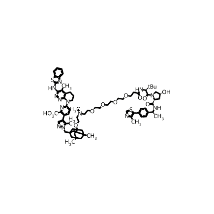 Cc1ncsc1-c1ccc([C@H](C)NC(=O)[C@@H]2C[C@@H](O)CN2C(=O)[C@@H](NC(=O)CCOCCOCCOCCOCCN(C)CCOC23CC4(C)CC(C)(CC(Cn5ncc(-c6ccc(N7CCCc8c7nnc(Nc7nc9ccccc9s7)c8C)nc6C(=O)O)c5C)(C4)C2)C3)C(C)(C)C)cc1